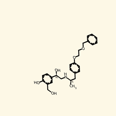 C[C@H](Cc1ccc(OCCOCc2ccccc2)cc1)NC[C@H](O)c1ccc(O)c(CO)c1